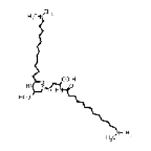 CN(C)CCCCCCCCCCCCC(=O)NC(CSSCC(NC(=O)CCCCCCCCCCCCN(C)C)C(=O)O)C(=O)O